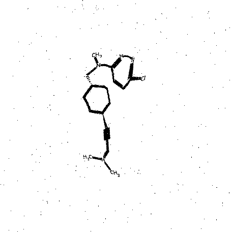 CN(C)CC#C[C@H]1CC[C@H](CN(C)c2ccc(Cl)nn2)CC1